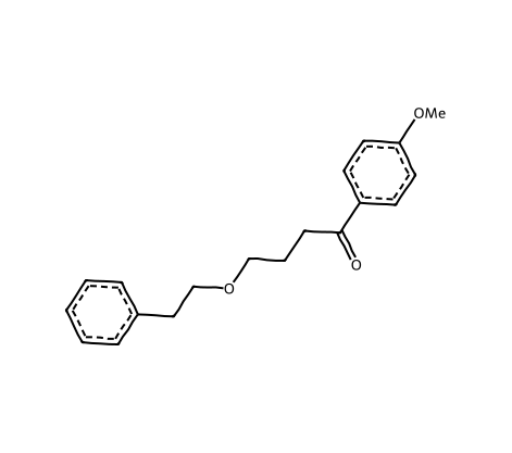 COc1ccc(C(=O)CCCOCCc2ccccc2)cc1